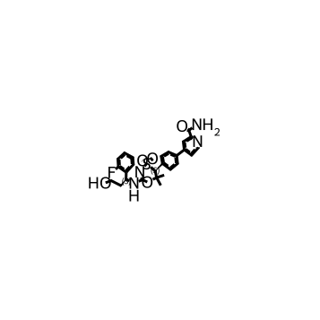 CC1(C)OC(N[C@@H](CCO)c2ccccc2F)=NS(=O)(=O)[C@H]1c1ccc(-c2ccnc(C(N)=O)c2)cc1